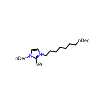 CCCCCCCCCCCCCCCCC[n+]1ccn(CCCCCCCCCC)c1CCC